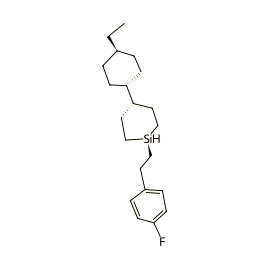 CC[C@H]1CC[C@H]([C@H]2CC[Si@H](CCc3ccc(F)cc3)CC2)CC1